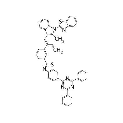 C=C/C(=C\c1c(C)n(-c2nc3ccccc3s2)c2ccccc12)c1cccc(-c2nc3ccc(-c4nc(-c5ccccc5)nc(-c5ccccc5)n4)cc3s2)c1